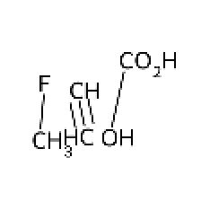 C#C.CF.O=C(O)O